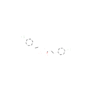 O=C(C=Cc1ccc(Cl)cc1)C[S+]([O-])C=Cc1ccc(Cl)cc1